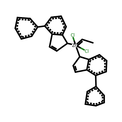 C[CH]=[Zr]([Cl])([Cl])([CH]1C=Cc2c(-c3ccccc3)cccc21)[CH]1C=Cc2c(-c3ccccc3)cccc21